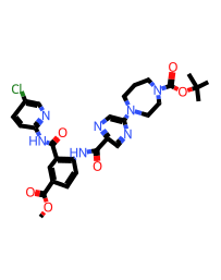 COC(=O)c1ccc(NC(=O)c2cnc(N3CCCN(C(=O)OC(C)(C)C)CC3)cn2)c(C(=O)Nc2ccc(Cl)cn2)c1